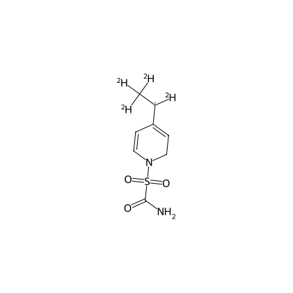 [2H][C](C1=CCN(S(=O)(=O)C(N)=O)C=C1)C([2H])([2H])[2H]